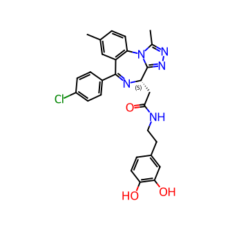 Cc1ccc2c(c1)C(c1ccc(Cl)cc1)=N[C@@H](CC(=O)NCCc1ccc(O)c(O)c1)c1nnc(C)n1-2